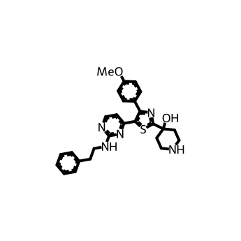 COc1ccc(-c2nc(C3(O)CCNCC3)sc2-c2ccnc(NCCc3ccccc3)n2)cc1